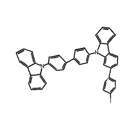 Ic1ccc(-c2ccc3c4ccccc4n(-c4ccc(-c5ccc(-n6c7ccccc7c7ccccc76)cc5)cc4)c3c2)cc1